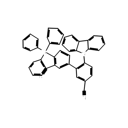 N#Cc1ccc(-n2c3ccccc3c3ccccc32)c(-c2ccc([Si](c3ccccc3)(c3ccccc3)c3ccccc3)c(C#N)c2)c1